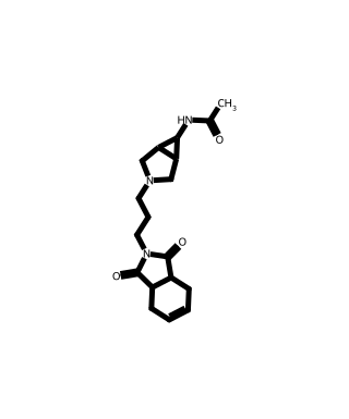 CC(=O)NC1C2CN(CCCN3C(=O)C4CC=CCC4C3=O)CC21